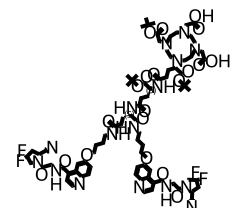 CC(C)(C)OC(=O)CN1CCN(CC(=O)O)CCN(CC(=O)O)CCN(C(CCC(=O)N[C@@H](CCC(=O)N[C@@H](CCC(=O)NCCCCOc2ccc3nccc(C(=O)NCC(=O)N4CC(F)(F)CC4C#N)c3c2)C(=O)NCCCCOc2ccc3nccc(C(=O)NCC(=O)N4CC(F)(F)CC4C#N)c3c2)C(=O)OC(C)(C)C)C(=O)OC(C)(C)C)CC1